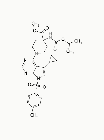 C=C(C)OC(=O)NC1(C(=O)OC)CCN(c2ncnc3c2c(C2CC2)cn3S(=O)(=O)c2ccc(C)cc2)CC1